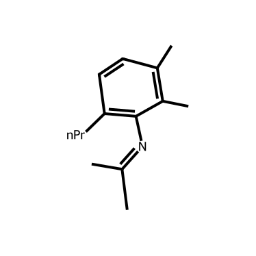 CCCc1ccc(C)c(C)c1N=C(C)C